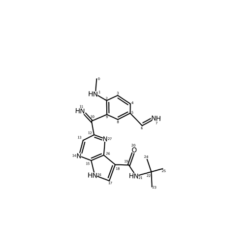 CNc1ccc(C=N)cc1C(=N)c1cnc2[nH]cc(C(=O)NC(C)(C)C)c2n1